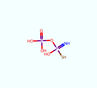 N=P(O)(S)OP(=O)(O)O